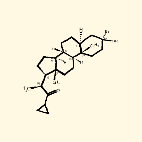 CC[C@]1(O)CC[C@@]2(C)[C@@H](CC[C@@H]3[C@@H]2CC[C@]2(C)[C@@H]([C@H](C)C(=O)C4CC4)CC[C@@H]32)C1